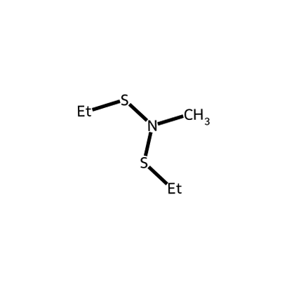 CCSN(C)SCC